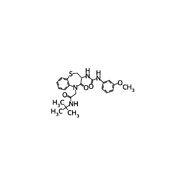 COc1cccc(NC(=O)NC2CSc3ccccc3N(CC(=O)NC(C)(C)C)C2=O)c1